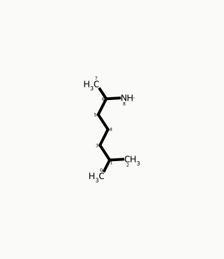 CC(C)CCCC(C)[NH]